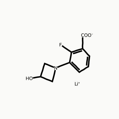 O=C([O-])c1cccc(N2CC(O)C2)c1F.[Li+]